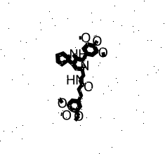 COc1cc(CCC(=O)NCc2cc3c([nH]c4ccccc43)c(-c3cc(OC)c(OC)c(OC)c3)n2)cc(OC)c1OC